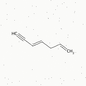 C#CC=CCC=C